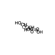 C[C@]12CC[C@@H]3c4ccc(O)cc4CCC3[C@@H]1CC[C@@H]2OC(=O)CCC(=O)O